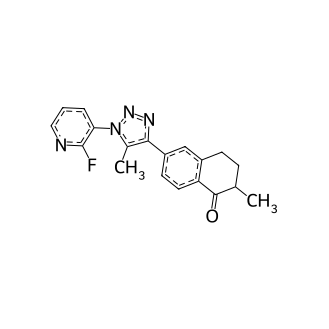 Cc1c(-c2ccc3c(c2)CCC(C)C3=O)nnn1-c1cccnc1F